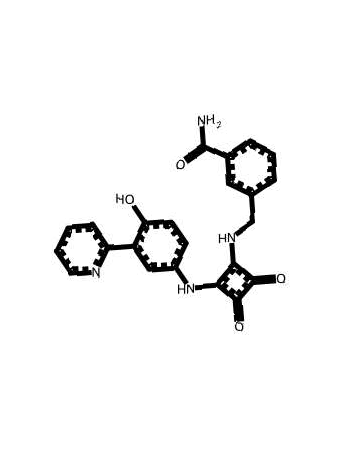 NC(=O)c1cccc(CNc2c(Nc3ccc(O)c(-c4ccccn4)c3)c(=O)c2=O)c1